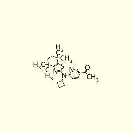 CC(=O)c1ccc(N(c2nc3c(s2)C(C)(C)CCC3(C)C)C2CCC2)nc1